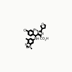 Cc1cc(NC(c2ccc(Cl)cc2)c2c(C(=O)O)nc(C3CCOC3)n2C(C)C)cc2c1nnn2C